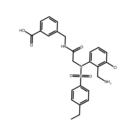 CCc1ccc(S(=O)(=O)N(CC(=O)NCc2cccc(C(=O)O)c2)c2cccc(Cl)c2CN)cc1